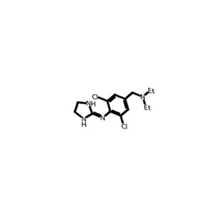 CCN(CC)Cc1cc(Cl)c(N=C2NCCN2)c(Cl)c1